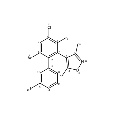 CC(=O)c1cc(Cl)c(C)c(-c2c(C)noc2C)c1-c1cccc(F)c1